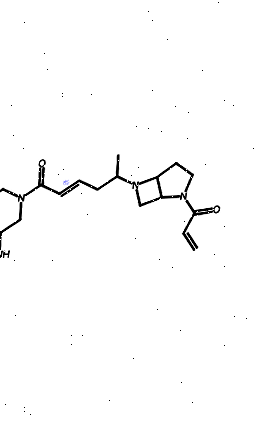 C=CC(=O)N1CCC2C1CN2C(C)C/C=C/C(=O)N1CCCC(NC)C1